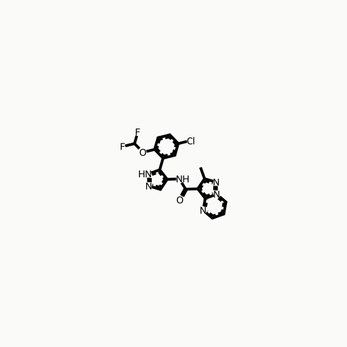 Cc1nn2cccnc2c1C(=O)Nc1cn[nH]c1-c1cc(Cl)ccc1OC(F)F